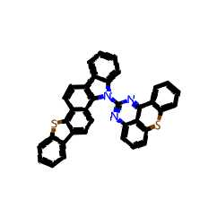 c1ccc2c(c1)Sc1cccc3nc(-n4c5ccccc5c5ccc6c(ccc7c8ccccc8sc76)c54)nc-2c13